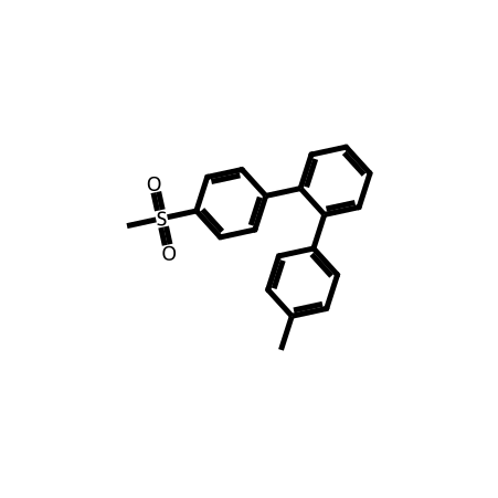 Cc1ccc(-c2ccccc2-c2ccc(S(C)(=O)=O)cc2)cc1